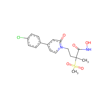 CC(CCn1ccc(-c2ccc(Cl)cc2)cc1=O)(C(=O)NO)S(C)(=O)=O